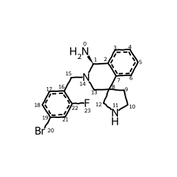 N[C@H]1c2ccccc2C2(CCNC2)CN1Cc1ccc(Br)cc1F